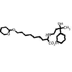 CCOC(=O)C(CCCCCCCOC1CCCCO1)NCCC(C)(O)C1CCCCC1